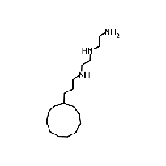 NCCNCCNCCCC1CCCCCCCCCC1